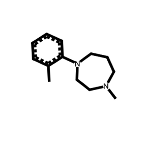 Cc1ccccc1N1CCCN(C)CC1